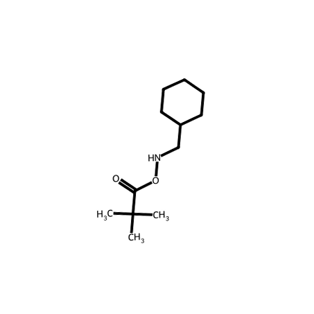 CC(C)(C)C(=O)ONCC1CCCCC1